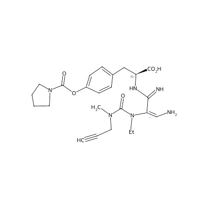 C#CCN(C)C(=O)N(CC)/C(=C/N)C(=N)N[C@@H](Cc1ccc(OC(=O)N2CCCC2)cc1)C(=O)O